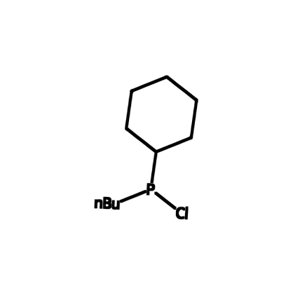 CCCCP(Cl)C1CCCCC1